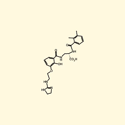 Cc1cccc(C(=O)N[C@@H](CNC(=O)c2cccc(OCCNC3=NCCN3)c2O)C(=O)O)c1C